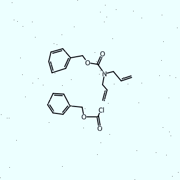 C=CCN(CC=C)C(=O)OCc1ccccc1.O=C(Cl)OCc1ccccc1